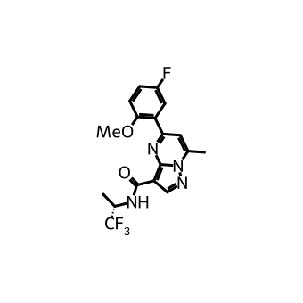 COc1ccc(F)cc1-c1cc(C)n2ncc(C(=O)N[C@@H](C)C(F)(F)F)c2n1